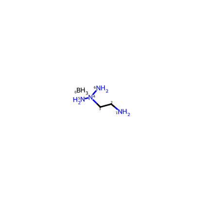 B.NCCN(N)N